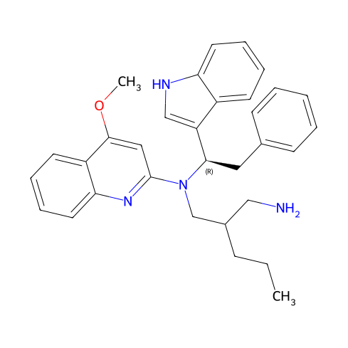 CCCC(CN)CN(c1cc(OC)c2ccccc2n1)[C@H](Cc1ccccc1)c1c[nH]c2ccccc12